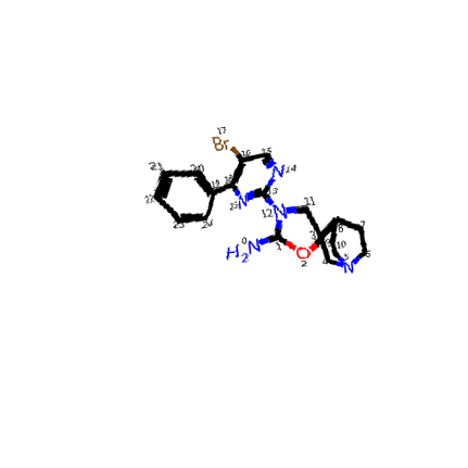 NC1OC2(CN3CCC2CC3)CN1c1ncc(Br)c(-c2ccccc2)n1